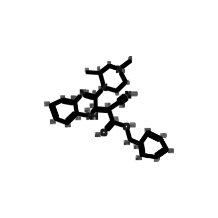 CC1CN(C)CCN1C1=Nc2ccccc2N/C1=C(/C#N)C(=O)OCc1ccccc1